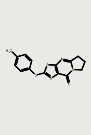 Cc1ccc(Sc2nc3c(=O)n4c(nc3s2)CCC4)cc1